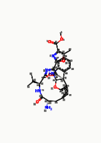 COC(=O)c1nc(-c2nc3oc2[C@@]24c5ccccc5NC2Oc2ccc(cc24)C[C@H](N)C(=O)N[C@H]3C(C)C)oc1C